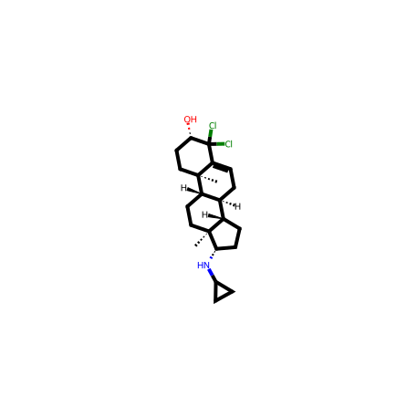 C[C@]12CC[C@H]3[C@@H](CC=C4C(Cl)(Cl)[C@@H](O)CC[C@@]43C)[C@@H]1CC[C@@H]2NC1CC1